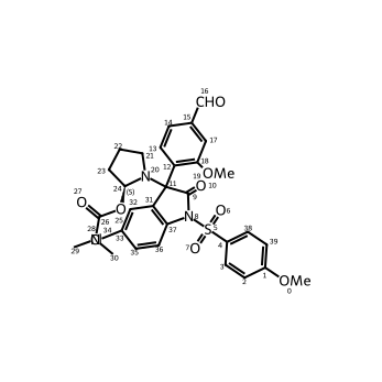 COc1ccc(S(=O)(=O)N2C(=O)C(c3ccc(C=O)cc3OC)(N3CCC[C@@H]3OC(=O)N(C)C)c3cc(Cl)ccc32)cc1